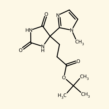 Cn1ccnc1C1(CCC(=O)OC(C)(C)C)NC(=O)NC1=O